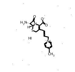 Cc1cc[n+](C/C=C/C2=C(C(=O)[O-])N3C(=O)[C@@H](N)[C@H]3SC2)cc1.I